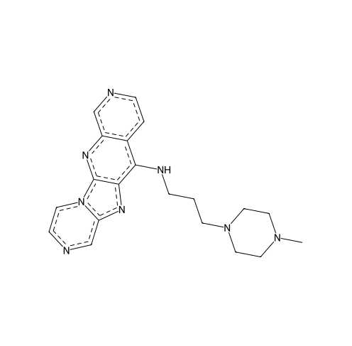 CN1CCN(CCCNc2c3ccncc3nc3c2nc2cnccn23)CC1